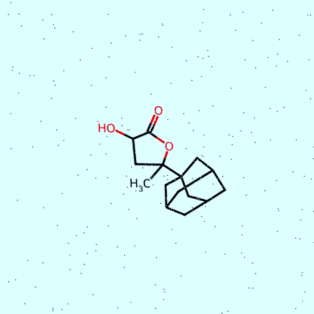 CC1(C23CC4CC(CC(C4)C2)C3)CC(O)C(=O)O1